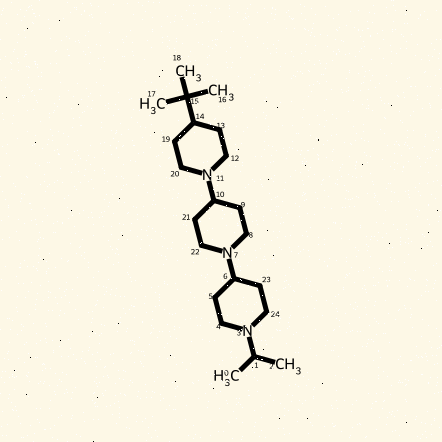 CC(C)N1CCC(N2CCC(N3CCC(C(C)(C)C)CC3)CC2)CC1